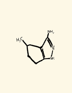 CC1CCc2[nH]nc(N)c21